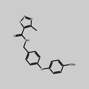 CSc1ccc(Oc2ccc(CNC(=O)c3snnc3C)cc2)cc1